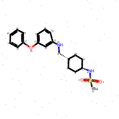 CC(C)(C)S(=O)(=O)N[C@H]1CC[C@H](CNc2cccc(Oc3ccccc3)c2)CC1